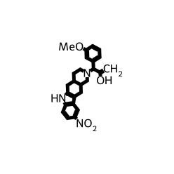 C=C(O)C(c1cccc(OC)c1)N1CCC2Cc3[nH]c4ccc([N+](=O)[O-])cc4c3CC2C1